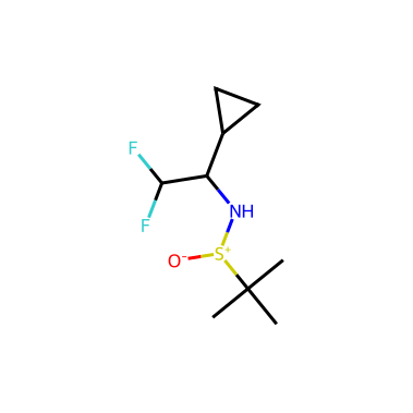 CC(C)(C)[S+]([O-])NC(C(F)F)C1CC1